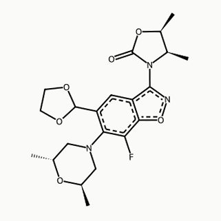 C[C@@H]1CN(c2c(C3OCCO3)cc3c(N4C(=O)O[C@@H](C)[C@H]4C)noc3c2F)C[C@@H](C)O1